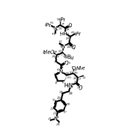 CC[C@H](C)[C@@H]([C@@H](CC(=O)N1CCC[C@H]1[C@H](OC)[C@@H](C)C(=O)NCCc1ccc(N(C)C)cc1)OC)N(C)C(=O)C(NC(=O)[C@H](C(C)C)N(C)C(C)C)C(C)C